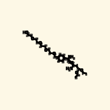 CCOP(C/C(N)=N/N=C(\N)c1ccc(COCCOCCOCCOCCO)cc1)OCC